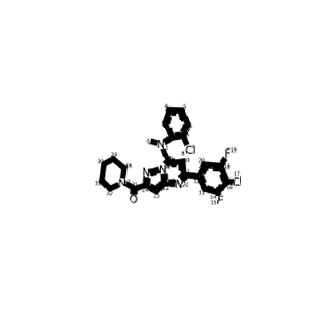 CN(c1ccccc1Cl)c1cc(-c2cc(F)c(Cl)c(F)c2)nc2cc(C(=O)N3CCCCC3)nn12